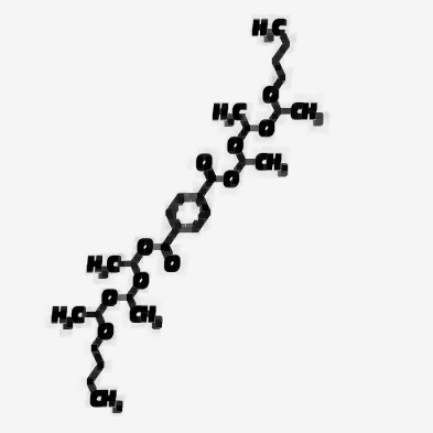 CCCCOC(C)OC(C)OC(C)OC(=O)c1ccc(C(=O)OC(C)OC(C)OC(C)OCCCC)cc1